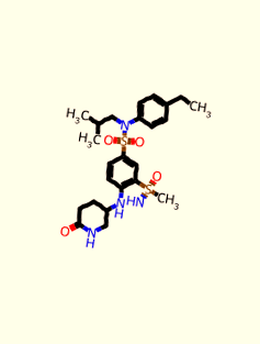 CCc1ccc(N(CC(C)C)S(=O)(=O)c2ccc(NC3CCC(=O)NC3)c(S(C)(=N)=O)c2)cc1